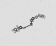 CC(C)(C)OC(=O)N1CCN(c2ccc3ncc(-c4cnn(CCCCCCNc5ccc6c(c5)C(=O)N(C5CCC(=O)NC5=O)C6=O)c4)nc3c2)CC1